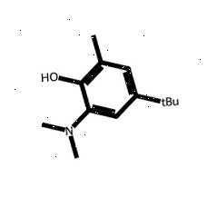 Cc1cc(C(C)(C)C)cc(N(C)C)c1O